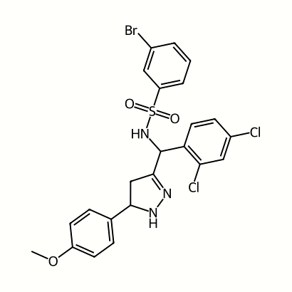 COc1ccc(C2CC(C(NS(=O)(=O)c3cccc(Br)c3)c3ccc(Cl)cc3Cl)=NN2)cc1